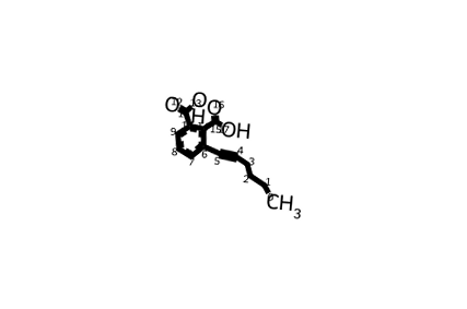 CCCCC#Cc1cccc(C(=O)O)c1C(=O)O